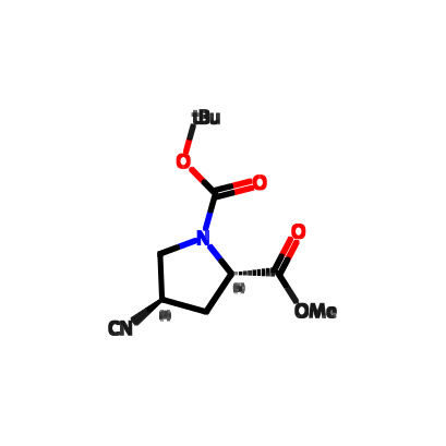 [C-]#[N+][C@@H]1C[C@@H](C(=O)OC)N(C(=O)OC(C)(C)C)C1